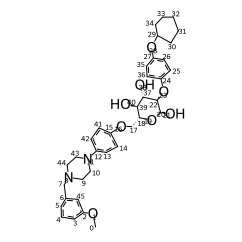 COc1cccc(CN2CCN(c3ccc(OC[C@H]4O[C@H](O)[C@H](Oc5ccc(OC6CCCCC6)cc5)[C@@H](O)[C@@H]4O)cc3)CC2)c1